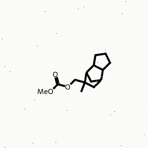 COC(=O)OCC1(C)CC2CC1C1CCCC21